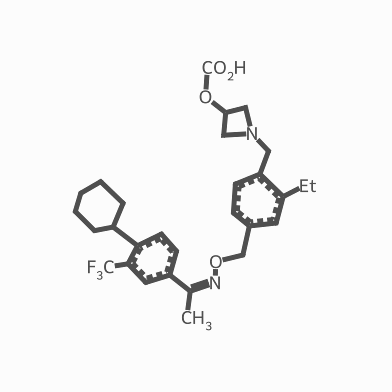 CCc1cc(CON=C(C)c2ccc(C3CCCCC3)c(C(F)(F)F)c2)ccc1CN1CC(OC(=O)O)C1